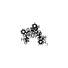 CCCC(NC(=O)[C@@H]1C[C@@H]2CCCC[C@@H]2N1C(=O)[C@@H](NC(=O)C(NC(=O)C1CSC(=O)N1)C1CCCCC1)C(C)(C)C)C(=O)C(=O)N[C@@H](C)c1ccccc1